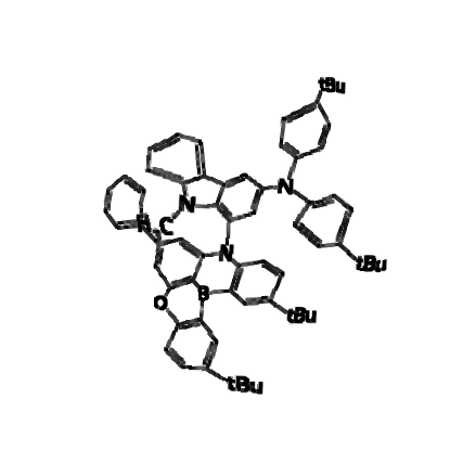 Cn1c2ccccc2c2cc(N(c3ccc(C(C)(C)C)cc3)c3ccc(C(C)(C)C)cc3)cc(N3c4ccc(C(C)(C)C)cc4B4c5cc(C(C)(C)C)ccc5Oc5cc(-c6ccccc6)cc3c54)c21